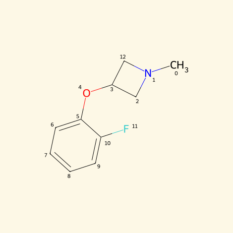 CN1CC(Oc2ccccc2F)C1